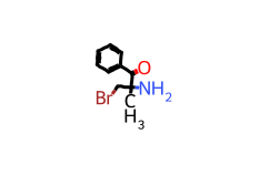 CC(N)(CBr)C(=O)c1ccccc1